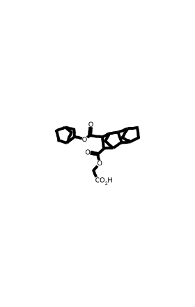 O=C(O)COC(=O)C1C2CC(C1C(=O)OC1CC3CCC1C3)C1C3CCC(C3)C21